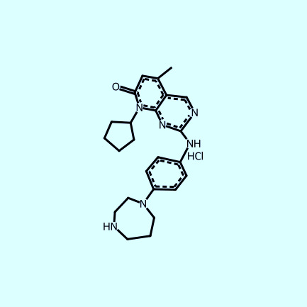 Cc1cc(=O)n(C2CCCC2)c2nc(Nc3ccc(N4CCCNCC4)cc3)ncc12.Cl